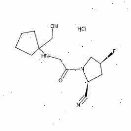 Cl.N#C[C@@H]1C[C@H](F)CN1C(=O)CNC1(CO)CCCC1